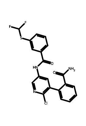 NC(=O)c1ccccc1-c1cc(NC(=O)c2cccc(SC(F)F)c2)cnc1Cl